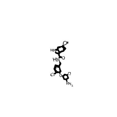 COc1ccc2c(C(=O)NCc3ccc(Cl)c(Oc4cc(N)cc(Cl)c4)c3)c[nH]c2c1